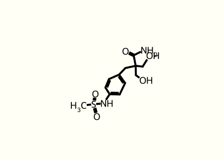 CS(=O)(=O)Nc1ccc(CC(CO)(CO)C(N)=O)cc1